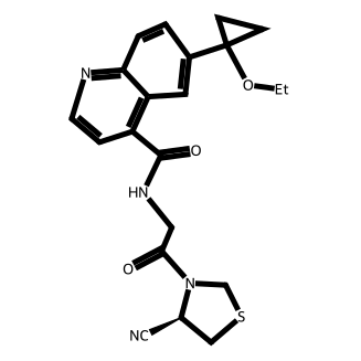 CCOC1(c2ccc3nccc(C(=O)NCC(=O)N4CSC[C@H]4C#N)c3c2)CC1